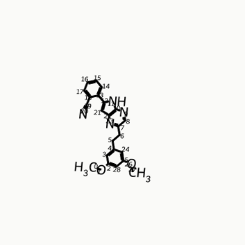 COc1cc(CCc2cnc3[nH]c(-c4ccccc4C#N)cc3n2)cc(OC)c1